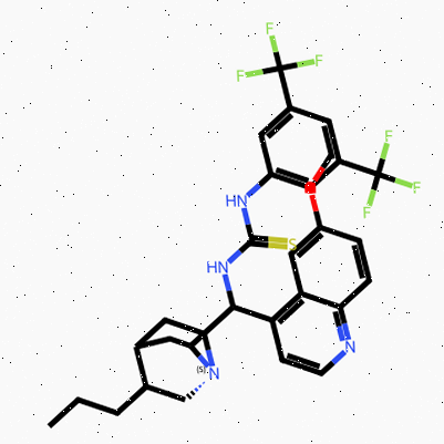 CCCC1C[N@@]2CCC1CC2C(NC(=S)Nc1cc(C(F)(F)F)cc(C(F)(F)F)c1)c1ccnc2ccc(OC)cc12